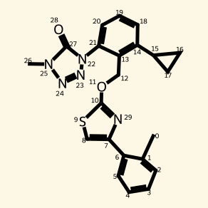 Cc1ccccc1-c1csc(OCc2c(C3CC3)cccc2-n2nnn(C)c2=O)n1